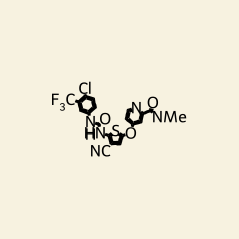 CNC(=O)c1cc(Oc2cc(C#N)c(NC(=O)Nc3ccc(Cl)c(C(F)(F)F)c3)s2)ccn1